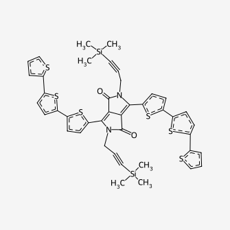 C[Si](C)(C)C#CCN1C(=O)C2=C(c3ccc(-c4ccc(-c5cccs5)s4)s3)N(CC#C[Si](C)(C)C)C(=O)C2=C1c1ccc(-c2ccc(-c3cccs3)s2)s1